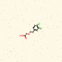 O=C(O)COCCc1ccc(Cl)c(Cl)c1